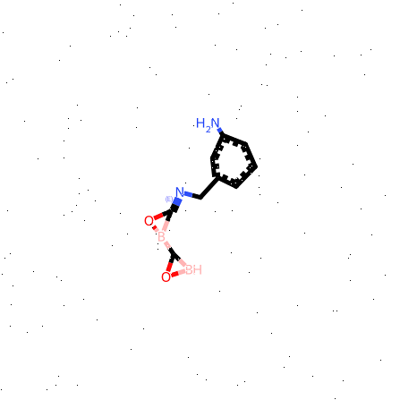 Nc1cccc(C/N=C2/OB2C2BO2)c1